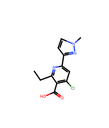 CCc1nc(-c2ccn(C)n2)cc(Cl)c1C(=O)O